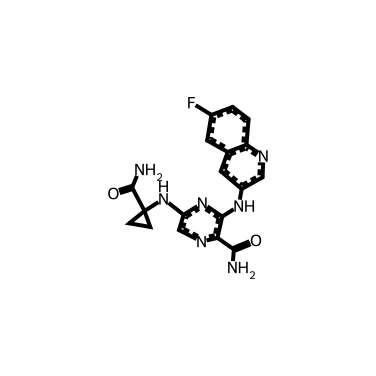 NC(=O)c1ncc(NC2(C(N)=O)CC2)nc1Nc1cnc2ccc(F)cc2c1